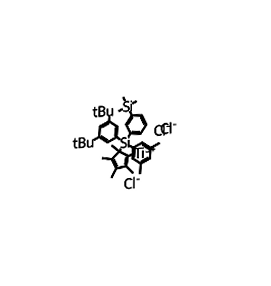 CC1=C(C)C(C)([Si](c2cc(C)cc(C)c2)(c2cc(C(C)(C)C)cc(C(C)(C)C)c2)c2cccc([Si](C)(C)C)c2)[C]([Ti+3])=C1C.[Cl-].[Cl-].[Cl-]